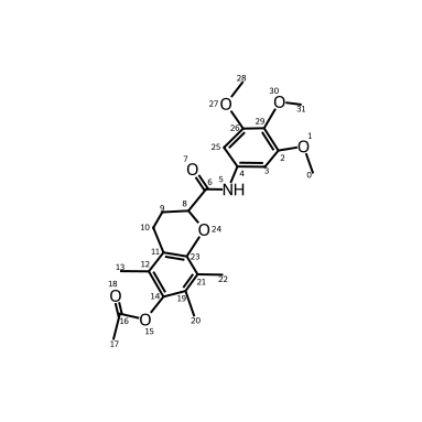 COc1cc(NC(=O)C2CCc3c(C)c(OC(C)=O)c(C)c(C)c3O2)cc(OC)c1OC